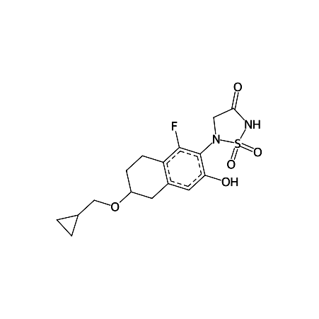 O=C1CN(c2c(O)cc3c(c2F)CCC(OCC2CC2)C3)S(=O)(=O)N1